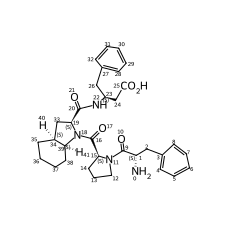 N[C@@H](Cc1ccccc1)C(=O)N1CCC[C@H]1C(=O)N1[C@H](C(=O)N[C@H](CC(=O)O)Cc2ccccc2)C[C@@H]2CCCC[C@@H]21